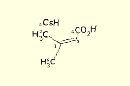 CC(C)=CC(=O)O.[CsH]